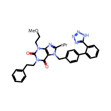 CCCc1nc2c(c(=O)n(CCc3ccccc3)c(=O)n2CCOC)n1Cc1ccc(-c2ccccc2-c2nnn[nH]2)cc1